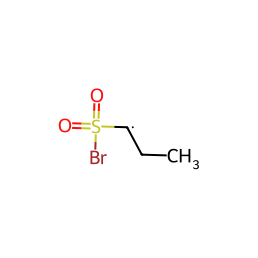 CC[CH]S(=O)(=O)Br